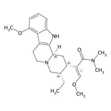 CC[C@@H]1CN2CCc3c([nH]c4cccc(OC)c34)[C@H]2C[C@@H]1/C(=C\OC)C(=O)N(C)C